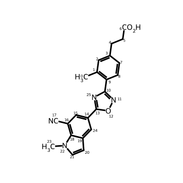 Cc1cc(CCC(=O)O)ccc1-c1noc(-c2cc(C#N)c3c(ccn3C)c2)n1